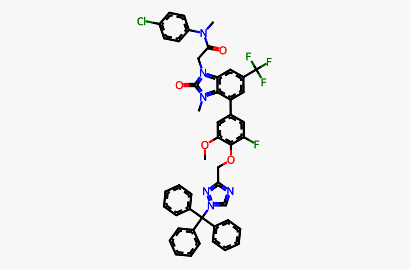 COc1cc(-c2cc(C(F)(F)F)cc3c2n(C)c(=O)n3CC(=O)N(C)c2ccc(Cl)cc2)cc(F)c1OCc1ncn(C(c2ccccc2)(c2ccccc2)c2ccccc2)n1